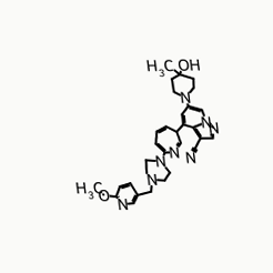 COc1ccc(CN2CCN(C3=CC=CC(c4cc(N5CCC(C)(O)CC5)cn5ncc(C#N)c45)C=N3)CC2)cn1